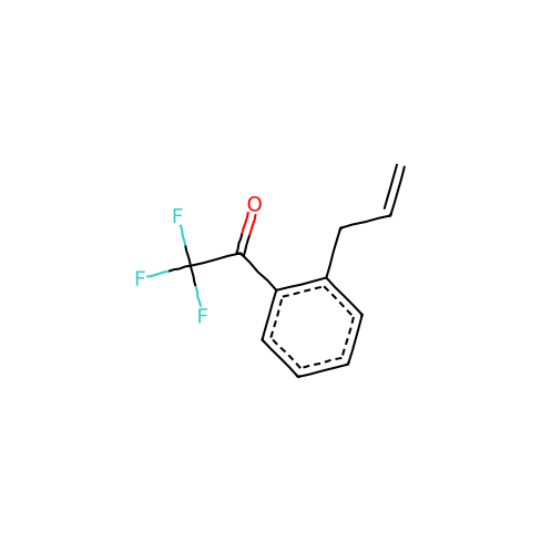 C=CCc1ccccc1C(=O)C(F)(F)F